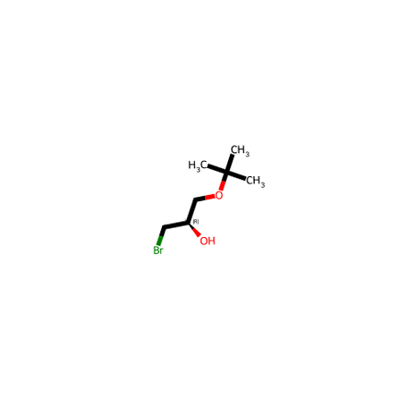 CC(C)(C)OC[C@@H](O)CBr